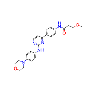 COCCC(=O)Nc1ccc(-c2ccnc(Nc3ccc(N4CCOCC4)cc3)n2)cc1